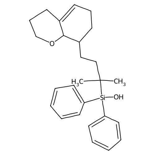 CC(C)(CCC1CCC=C2CCCOC21)[Si](O)(c1ccccc1)c1ccccc1